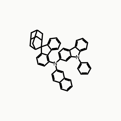 c1ccc(-n2c3ccccc3c3ccc(N(c4ccc5ccccc5c4)c4cccc5c4-c4ccccc4C54C5CC6CC(C5)CC4C6)cc32)cc1